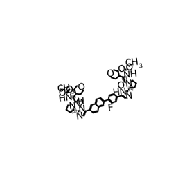 COC(=O)N[C@H](C(=O)N1CCC[C@H]1c1ncc(-c2ccc(-c3ccc4cc(-c5cnc([C@@H]6CCCN6C(=O)[C@@H](NC(=O)OC)C6CCOCC6)[nH]5)ccc4c3)c(F)c2)[nH]1)C1CCOCC1